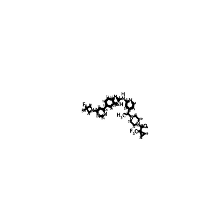 CC(c1ccnc(Nc2nc3ccc(-c4cc(N5CC(F)(F)C5)ncn4)cc3[nH]2)c1)N1CCN(C(=O)C2(C(F)(F)F)CC2)CC1